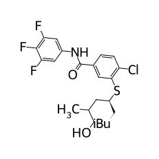 CC[C@@H](C)C[C@@H](CC(C)CO)Sc1cc(C(=O)Nc2cc(F)c(F)c(F)c2)ccc1Cl